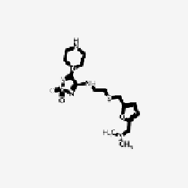 CN(C)Cc1ccc(CSCCNC2=NS(=O)(=O)N=C2N2CCNCC2)o1